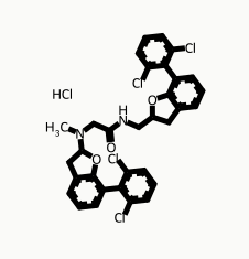 CN(CC(=O)NCC1Cc2cccc(-c3c(Cl)cccc3Cl)c2O1)C1Cc2cccc(-c3c(Cl)cccc3Cl)c2O1.Cl